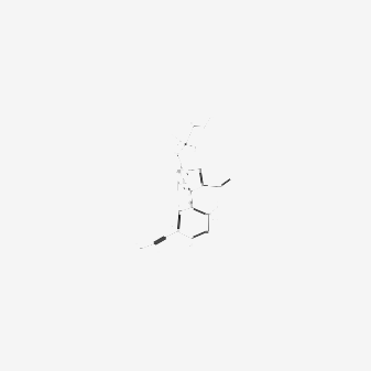 C=Cc1cn(CC(C)(C)CCC)nc1-c1cc(C#CC)ccc1C